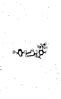 CC(C)c1ccc(Oc2nc(C(=O)N[C@H](C)c3cc(F)c(NS(C)(=O)=O)c(F)c3)co2)cc1